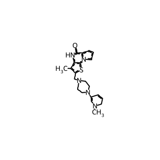 Cc1c(CN2CCN(C3=CN(C)CC=C3)CC2)sc2c1[nH]c(=O)c1cccn12